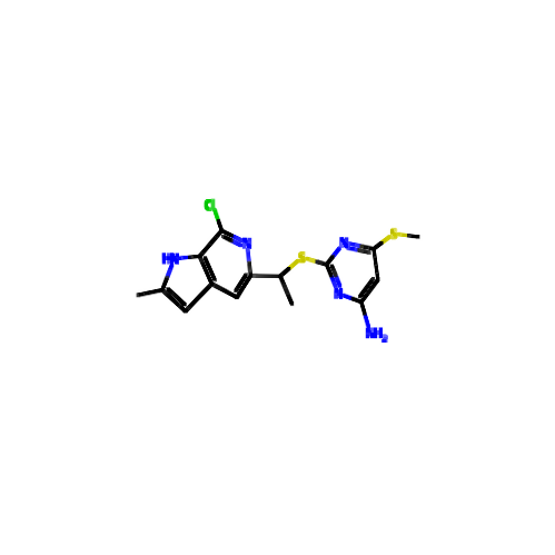 CSc1cc(N)nc(SC(C)c2cc3cc(C)[nH]c3c(Cl)n2)n1